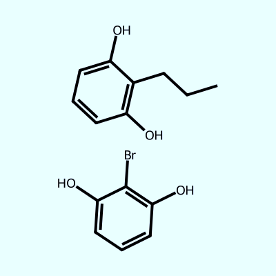 CCCc1c(O)cccc1O.Oc1cccc(O)c1Br